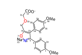 COc1ccc(-c2noc(COCC(=O)[O-])c2-c2ccc(OC)cc2)cc1.[Na+]